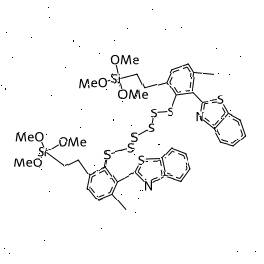 CO[Si](CCc1ccc(C)c(-c2nc3ccccc3s2)c1SSSSSSc1c(CC[Si](OC)(OC)OC)ccc(C)c1-c1nc2ccccc2s1)(OC)OC